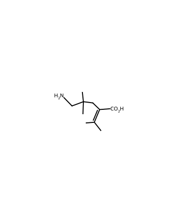 CC(C)=C(CC(C)(C)CN)C(=O)O